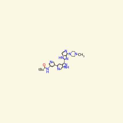 CN1CCN(c2nccc3[nH]c(-c4n[nH]c5cnc(-c6cncc(NC(=O)C(C)(C)C)c6)cc45)nc23)CC1